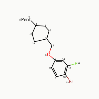 CCCCCC1CCC(COc2ccc(Br)c(F)c2)CC1